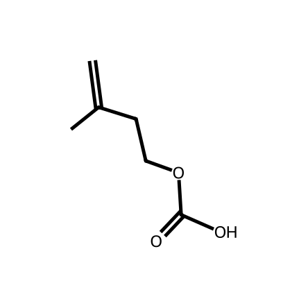 C=C(C)CCOC(=O)O